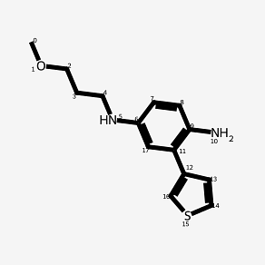 COCCCNc1ccc(N)c(-c2ccsc2)c1